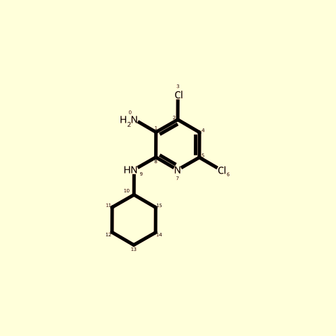 Nc1c(Cl)cc(Cl)nc1NC1CCCCC1